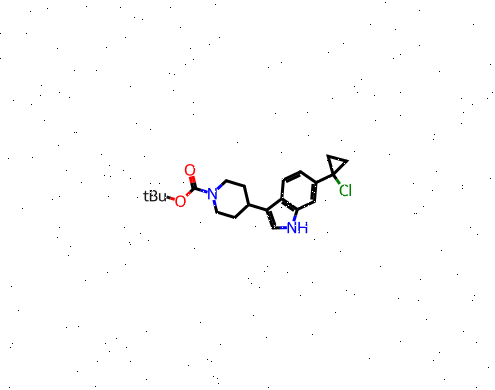 CC(C)(C)OC(=O)N1CCC(c2c[nH]c3cc(C4(Cl)CC4)ccc23)CC1